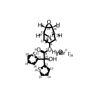 Br.C[N+]1(C)[C@@H]2CC(OC(=O)C(O)(c3cccs3)c3cccs3)C[C@H]1[C@@H]1O[C@@H]12.O.[I-]